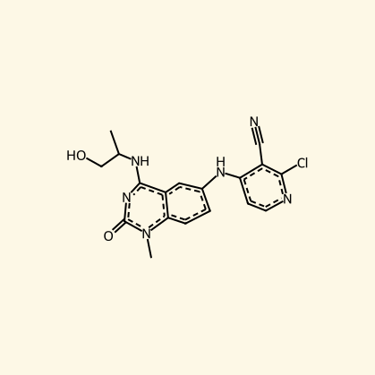 CC(CO)Nc1nc(=O)n(C)c2ccc(Nc3ccnc(Cl)c3C#N)cc12